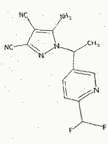 CC(c1ccc(C(F)F)nc1)n1nc(C#N)c(C#N)c1N